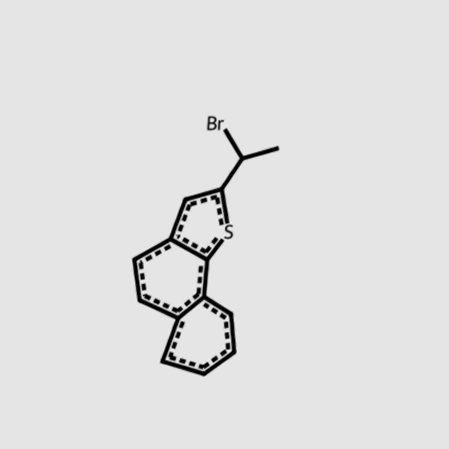 CC(Br)c1cc2ccc3ccccc3c2s1